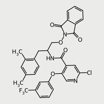 Cc1ccc(CC(CON2C(=O)c3ccccc3C2=O)NC(=O)c2cc(Cl)ncc2Oc2cccc(C(F)(F)F)c2)c(C)c1